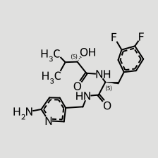 CC(C)[C@H](O)C(=O)N[C@@H](Cc1ccc(F)c(F)c1)C(=O)NCc1ccc(N)nc1